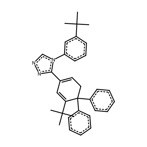 CC(C)(C)C1=CC(c2nncn2-c2cccc(C(C)(C)C)c2)=CCC1(c1ccccc1)c1ccccc1